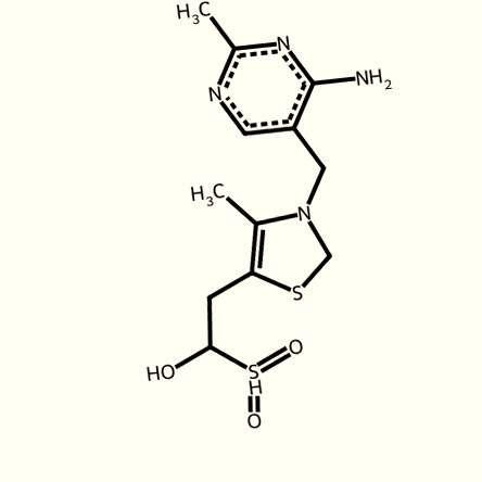 CC1=C(CC(O)[SH](=O)=O)SCN1Cc1cnc(C)nc1N